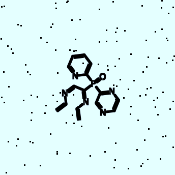 C=C/N=C\C(=N/C=C)P(=O)(c1ccccn1)c1cnccn1